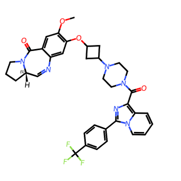 COc1cc2c(cc1OC1CC(N3CCN(C(=O)c4nc(-c5ccc(C(F)(F)F)cc5)n5ccccc45)CC3)C1)N=C[C@@H]1CCCN1C2=O